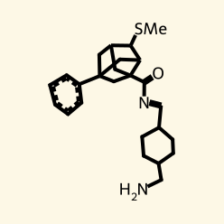 CSC1C2CC3(c4ccccc4)CC1C(C(=O)/N=C/C1CCC(CN)CC1)(C2)C3